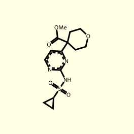 COC(=O)C1(c2ccnc(NS(=O)(=O)C3CC3)n2)CCOCC1